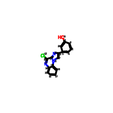 Oc1cccc(-c2cn3c(n2)c(Cl)nc2ccccc23)c1